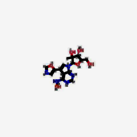 CC1(O)C(n2cc(-c3cnco3)c3c(NO)ncnc32)OC(CO)[C@H]1O